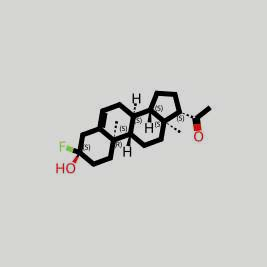 CC(=O)[C@H]1CC[C@H]2[C@@H]3CC=C4C[C@@](O)(F)CC[C@]4(C)[C@H]3CC[C@]12C